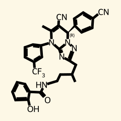 CC1=C(C#N)[C@@H](c2ccc(C#N)cc2)n2nc(CC(C)CCNC(=O)c3ccccc3O)nc2N1c1cccc(C(F)(F)F)c1